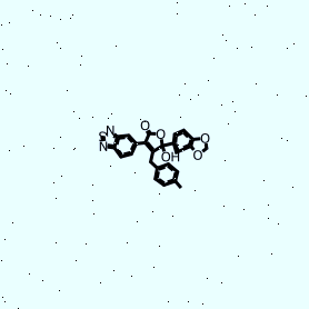 Cc1ccc(CC2=C(c3ccc4nsnc4c3)C(=O)OC2(O)c2ccc3c(c2)OCO3)cc1